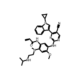 C=CC(=O)Nc1cc(Nc2ncc(C#N)c(-c3cn(C4CC4)c4ccccc34)n2)c(OC)cc1N(C)CCNC(C)C